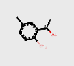 Bc1ccc(C)cc1[C@@H](C)O